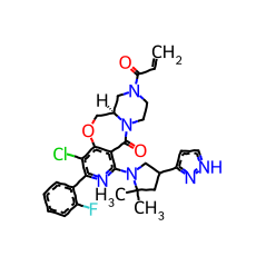 C=CC(=O)N1CCN2C(=O)c3c(N4CC(c5cc[nH]n5)CC4(C)C)nc(-c4ccccc4F)c(Cl)c3OC[C@H]2C1